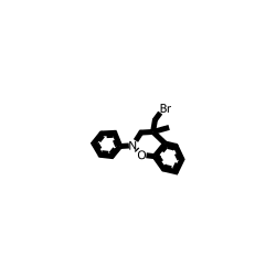 CC1(CBr)CN(c2ccccc2)Oc2ccccc21